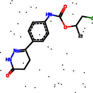 CCC(CCl)OC(=O)Nc1ccc(C2=NNC(=O)CC2)cc1